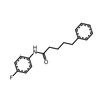 O=C(CCCCc1ccccc1)Nc1[c]cc(F)cc1